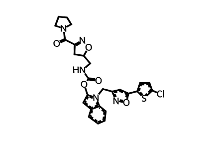 O=C(NCC1CC(C(=O)N2CCCC2)=NO1)Oc1cc2ccccc2n1Cc1cc(-c2ccc(Cl)s2)on1